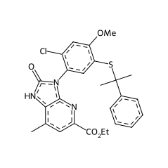 CCOC(=O)c1cc(C)c2[nH]c(=O)n(-c3cc(SC(C)(C)c4ccccc4)c(OC)cc3Cl)c2n1